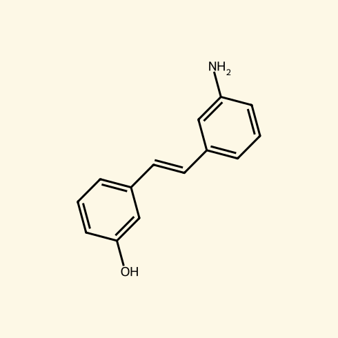 Nc1cccc(/C=C/c2cccc(O)c2)c1